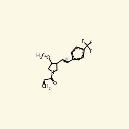 C=CC(=O)N1CC(/C=C/c2ccc(C(F)(F)F)cc2)C(OC)C1